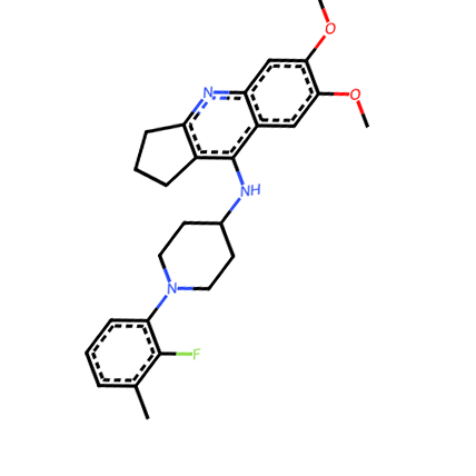 COc1cc2nc3c(c(NC4CCN(c5cccc(C)c5F)CC4)c2cc1OC)CCC3